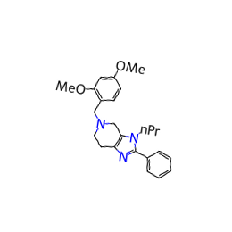 CCCn1c(-c2ccccc2)nc2c1CN(Cc1ccc(OC)cc1OC)CC2